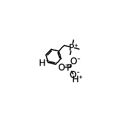 C[P+](C)(C)Cc1ccccc1.[H+].[H+].[O-]P([O-])[O-]